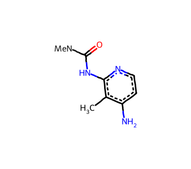 CNC(=O)Nc1nccc(N)c1C